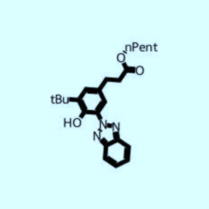 CCCCCOC(=O)CCc1cc(-n2nc3ccccc3n2)c(O)c(C(C)(C)C)c1